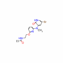 CCC(=O)NCCOc1cccc(N(C)c2cc(Br)c[nH]c2=O)n1